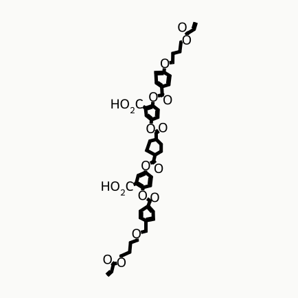 C=CC(=O)OCCCCOCc1ccc(C(=O)Oc2ccc(OC(=O)C3CCC(C(=O)Oc4ccc(OC(=O)c5ccc(OCCCCOC(=O)C=C)cc5)c(C(=O)O)c4)CC3)cc2C(=O)O)cc1